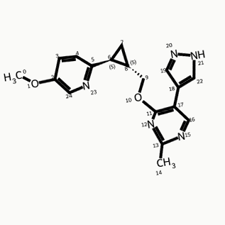 COc1ccc([C@H]2C[C@@H]2COc2nc(C)ncc2-c2cn[nH]c2)nc1